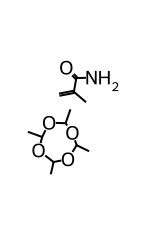 C=C(C)C(N)=O.CC1OC(C)OC(C)OC(C)O1